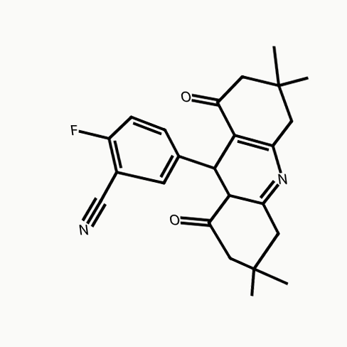 CC1(C)CC(=O)C2C(=NC3=C(C(=O)CC(C)(C)C3)C2c2ccc(F)c(C#N)c2)C1